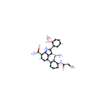 C=CC(=O)Nc1cccc(-c2ccc(C(N)=O)c3[nH]c(-c4ccccc4OC)cc23)c1CN